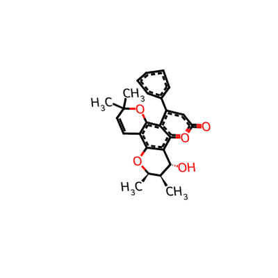 C[C@H]1[C@@H](C)Oc2c3c(c4c(-c5ccccc5)cc(=O)oc4c2[C@@H]1O)OC(C)(C)C=C3